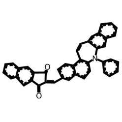 O=C1C(=Cc2ccc3c4c(ccc3c2)N(c2ccccc2)c2cc3ccccc3cc2C=C4)C(=O)c2cc3ccccc3cc21